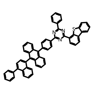 c1ccc(-c2nc(-c3ccc(-c4c5ccccc5c(-c5ccc(-c6ccccc6)c6ccccc56)c5ccccc45)cc3)nc(-c3cccc4c3sc3ccccc34)n2)cc1